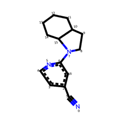 N#Cc1ccnc(N2CCC3CCCCC32)c1